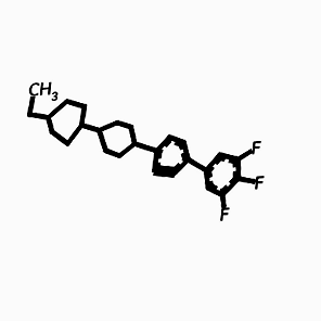 CCC1CCC(C2CCC(c3c#cc(-c4cc(F)c(F)c(F)c4)cc3)CC2)CC1